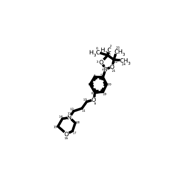 CC1(C)OB(c2ccc(OCCCN3CCOCC3)cc2)OC1(C)C